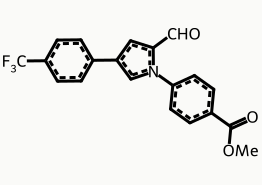 COC(=O)c1ccc(-n2cc(-c3ccc(C(F)(F)F)cc3)cc2C=O)cc1